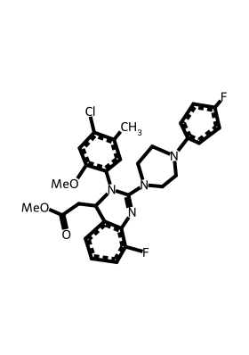 COC(=O)CC1c2cccc(F)c2N=C(N2CCN(c3ccc(F)cc3)CC2)N1c1cc(C)c(Cl)cc1OC